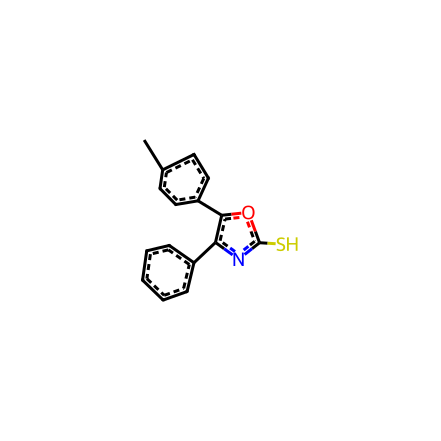 Cc1ccc(-c2oc(S)nc2-c2ccccc2)cc1